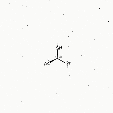 CC(=O)[C@@H](S)C(C)C